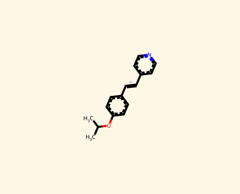 CC(C)Oc1ccc(/C=C/c2ccncc2)cc1